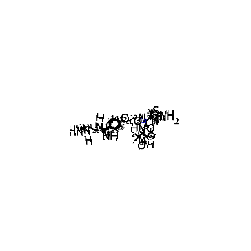 CC1(C)[C@H](NC(=O)/C(=N\OCCOc2ccc(C(=N)NCCNC=N)cc2)c2csc(N)n2)C(=O)N1O